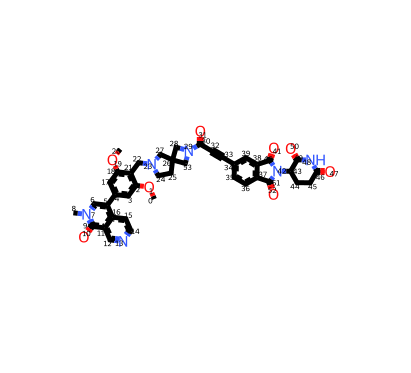 COc1cc(-c2cn(C)c(=O)c3cnccc23)cc(OC)c1CN1CCC2(C1)CN(C(=O)C#Cc1ccc3c(c1)C(=O)N(C1CCC(=O)NC1=O)C3=O)C2